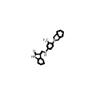 O=C1Nc2ccccc2/C1=C\Nc1ccc(N2Cc3ccccc3C2)c(C(F)(F)F)c1